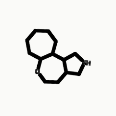 C1CCC2OCCC3CNCC3C2CC1